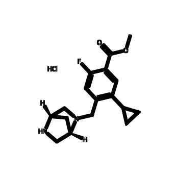 COC(=O)c1cc(C2CC2)c(CN2C[C@@H]3C[C@H]2CN3)cc1F.Cl